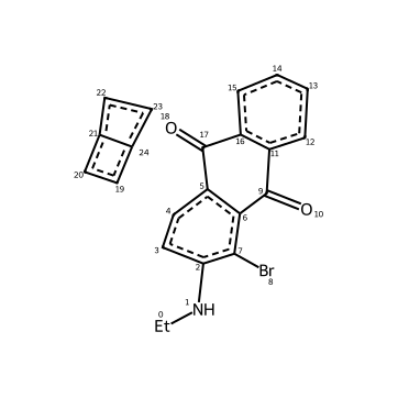 CCNc1ccc2c(c1Br)C(=O)c1ccccc1C2=O.c1cc2ccc1-2